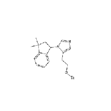 CCOCCc1cncn1C1CC(C)(C)c2ccccc21